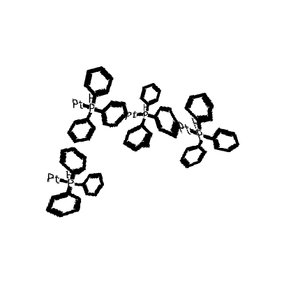 [Pt][PH](c1ccccc1)(c1ccccc1)c1ccccc1.[Pt][PH](c1ccccc1)(c1ccccc1)c1ccccc1.[Pt][PH](c1ccccc1)(c1ccccc1)c1ccccc1.[Pt][PH](c1ccccc1)(c1ccccc1)c1ccccc1